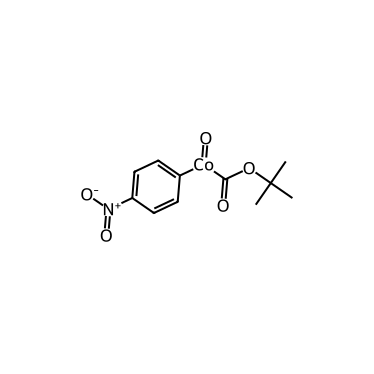 CC(C)(C)O[C](=O)[Co](=[O])[c]1ccc([N+](=O)[O-])cc1